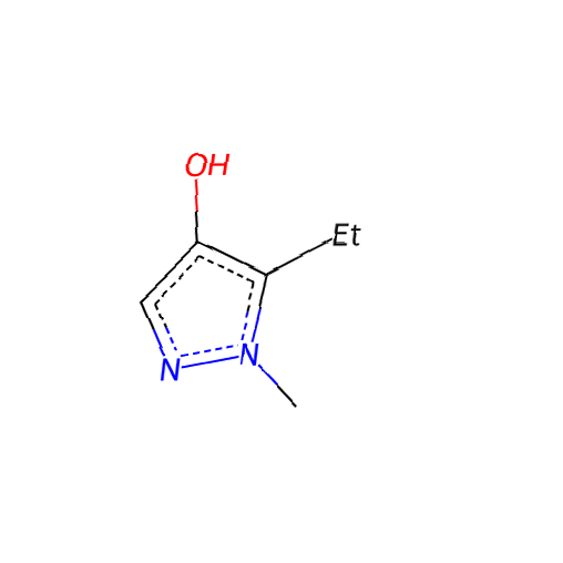 CCc1c(O)cnn1C